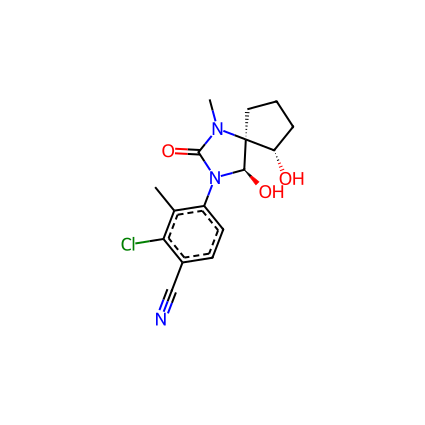 Cc1c(N2C(=O)N(C)[C@]3(CCC[C@@H]3O)[C@H]2O)ccc(C#N)c1Cl